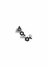 CC(=O)c1cccc(NCC2CCC(NS(=O)(=O)C(C)(C)C)CC2)c1